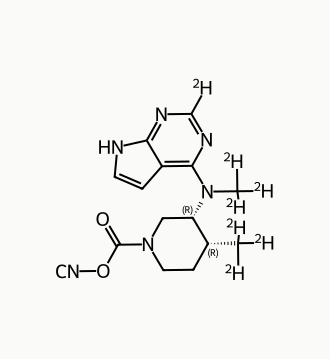 [2H]c1nc(N([C@H]2CN(C(=O)O[N+]#[C-])CC[C@H]2C([2H])([2H])[2H])C([2H])([2H])[2H])c2cc[nH]c2n1